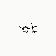 CCCC(C)(C)c1cc(C)no1